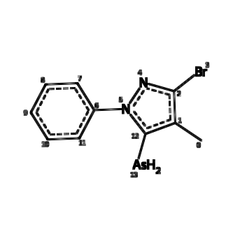 Cc1c(Br)nn(-c2ccccc2)c1[AsH2]